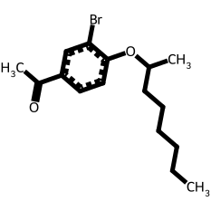 CCCCCCC(C)Oc1ccc(C(C)=O)cc1Br